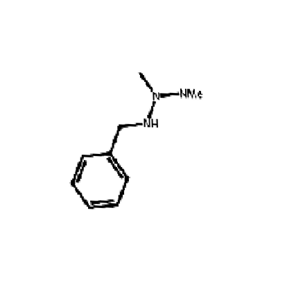 CNN(C)NCc1ccccc1